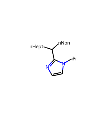 CCCCCCCCCC(CCCCCCC)c1nccn1C(C)C